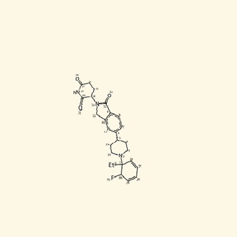 CCC1(N2CCC(c3ccc4c(c3)CN(C3CCC(=O)NC3=O)C4=O)CC2)C=CC=CC1F